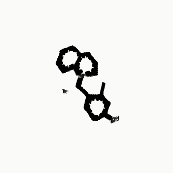 Cc1cc(O)ccc1C[n+]1cccc2ccccc21.[Br-]